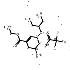 CCOC(=O)C1=C[C@@H](OC(CC)CC)[C@H](NC(=O)C(F)(F)F)[C@@H](N)C1